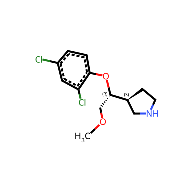 COC[C@H](Oc1ccc(Cl)cc1Cl)[C@H]1CCNC1